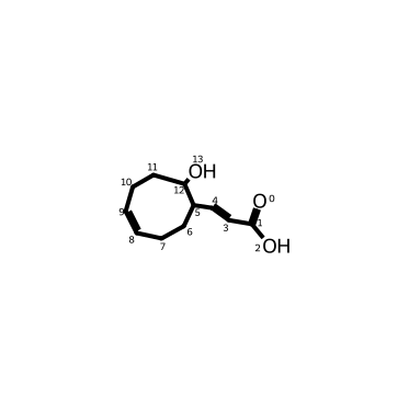 O=C(O)C=CC1CC/C=C\CCC1O